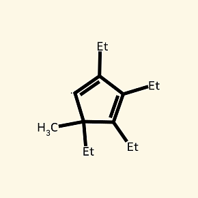 CCC1=[C]C(C)(CC)C(CC)=C1CC